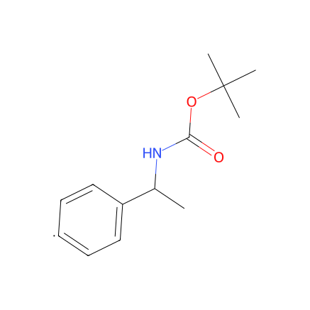 CC(NC(=O)OC(C)(C)C)c1cc[c]cc1